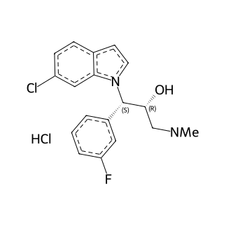 CNC[C@@H](O)[C@H](c1cccc(F)c1)n1ccc2ccc(Cl)cc21.Cl